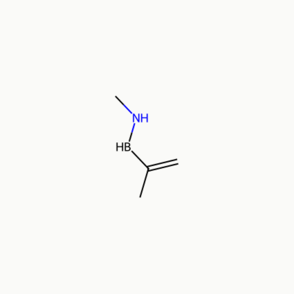 C=C(C)BNC